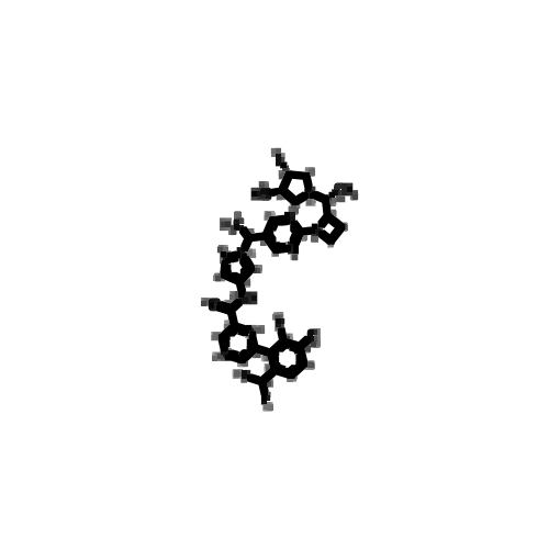 CC(c1cnc(N2CCC2[C@@H](C)N2C[C@@H](O)[C@H](F)C2)nc1)n1cc(NC(=O)c2cncc(-c3c(C(F)F)ccc(Cl)c3F)n2)cn1